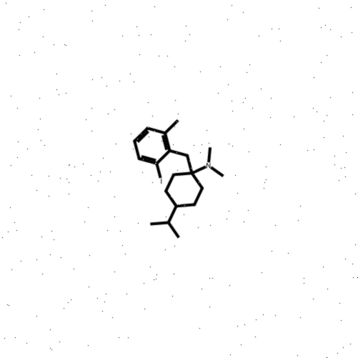 Cc1cccc(I)c1CC1(N(C)C)CCC(C(C)C)CC1